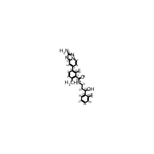 Cc1ccc(-c2ccn3nc(N)nc3c2)c(F)c1C(=O)NCCC(O)c1ccccc1F